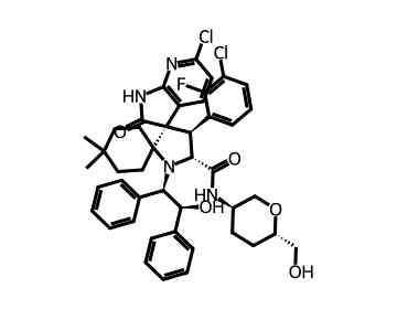 CC1(C)CCC2(CC1)N([C@H](c1ccccc1)[C@@H](O)c1ccccc1)[C@@H](C(=O)N[C@@H]1CC[C@@H](CO)OC1)[C@H](c1cccc(Cl)c1F)[C@]21C(=O)Nc2nc(Cl)ccc21